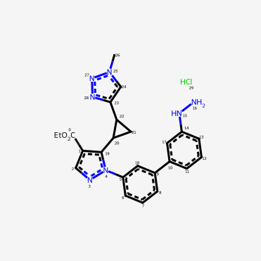 CCOC(=O)c1cnn(-c2cccc(-c3cccc(NN)c3)c2)c1C1CC1c1cn(C)nn1.Cl